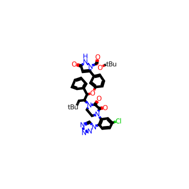 CC(C)(C)CC(C(Oc1cccc(-c2cc(=O)[nH]n2C(=O)OC(C)(C)C)c1)c1ccccc1)N1CCN(c2cc(Cl)ccc2-n2cnnn2)C(=O)C1=O